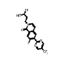 CCC(O)CCn1ccc2cc(-c3ncc(C(F)(F)F)cn3)c(F)cc2c1=O